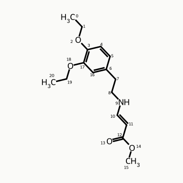 CCOc1ccc(CCNC=CC(=O)OC)cc1OCC